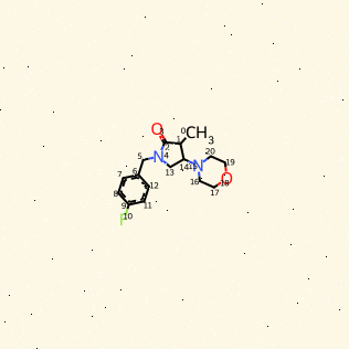 CC1C(=O)N(Cc2ccc(F)cc2)CC1N1CCOCC1